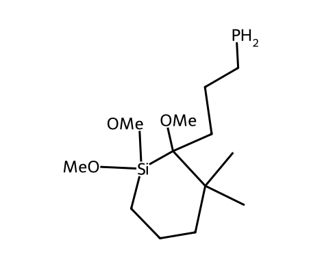 COC1(CCCP)C(C)(C)CCC[Si]1(OC)OC